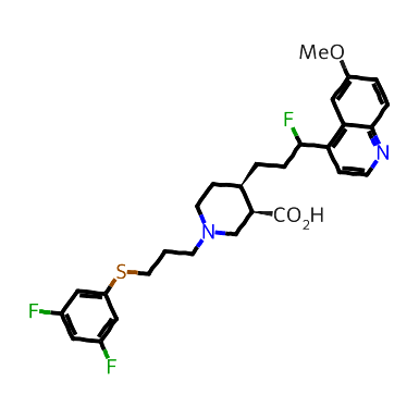 COc1ccc2nccc(C(F)CC[C@@H]3CCN(CCCSc4cc(F)cc(F)c4)C[C@@H]3C(=O)O)c2c1